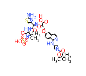 CC(C)(C)OC(=O)N1CC(Nc2nccc3cc(OC[C@H](O/N=C(\C(=O)N[C@@H]4C(=O)N(OS(=O)(=O)O)C4(C)C)c4csc(N)n4)C(=O)O)ccc23)C1